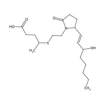 CCCCCC(O)C=CC1CCC(=O)N1CCSC(C)CCC(=O)O